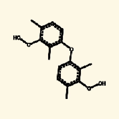 Cc1ccc(Oc2ccc(C)c(OO)c2C)c(C)c1OO